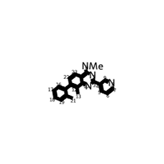 CNc1nc(-c2cccnc2)nc2c(C)c(-c3ccccc3C)ccc12